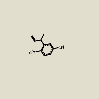 [CH2]C(C=C)c1cc(C#N)ccc1CCC